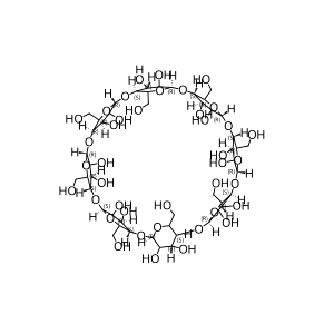 OCC1O[C@@H]2O[C@@H]3C(CO)O[C@H](O[C@@H]4C(CO)O[C@@H](O[C@@H]5C(CO)O[C@H](O[C@H]6C(CO)O[C@H](O[C@@H]7C(CO)O[C@H](O[C@@H]8C(CO)O[C@H](O[C@@H]9C(CO)O[C@H](O[C@H]1[C@H](O)C2O)C(O)[C@H]9O)C(O)[C@H]8O)C(O)[C@H]7O)C(O)[C@H]6O)C(O)[C@H]5O)C(O)[C@H]4O)C(O)[C@H]3O